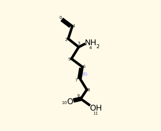 C=CCC(N)C/C=C/CC(=O)O